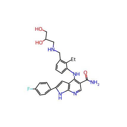 CCc1c(CNCC(O)CO)cccc1Nc1c(C(N)=O)cnc2[nH]c(-c3ccc(F)cc3)cc12